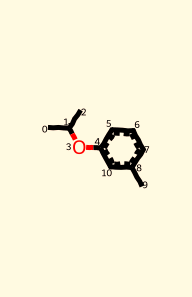 C[C](C)Oc1cccc(C)c1